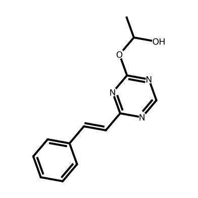 CC(O)Oc1ncnc(C=Cc2ccccc2)n1